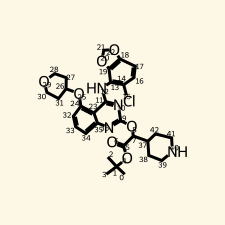 CC(C)(C)OC(=O)C(Oc1nc(Nc2c(Cl)ccc3c2OCO3)c2c(OC3CCOCC3)cccc2n1)C1CCNCC1